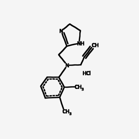 C#CCN(CC1=NCCN1)c1cccc(C)c1C.Cl